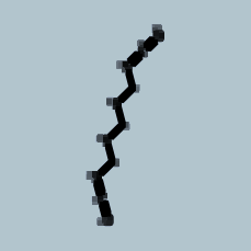 O=C=NCSCSCN=C=O